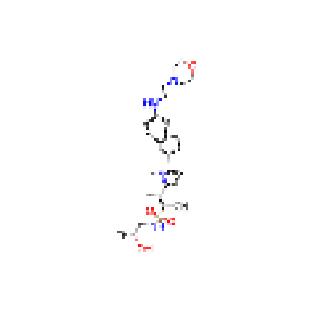 CCC(O)CNS(=O)(=O)/C(C#N)=C(\C)c1ccc(-c2ccc3cc(NCCN4CCOCC4)ccc3c2)n1C